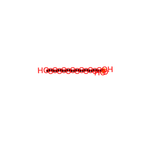 O=P(O)(O)CCOCCOCCOCCOCCOCCOCCOCCOCCOCCOCCOCCOCCO